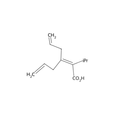 C=CCC(CC=C)=C(C(=O)O)C(C)C